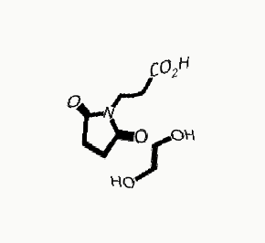 O=C(O)CCN1C(=O)CCC1=O.OCCO